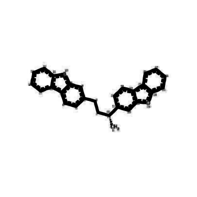 C[C@H](CCc1ccc2c(c1)sc1ccccc12)c1ccc2c(c1)oc1ccccc12